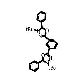 CC(C)(C)N1N=C(c2cccc(C3=NN(C(C)(C)C)C(c4ccccc4)O3)c2)OC1c1ccccc1